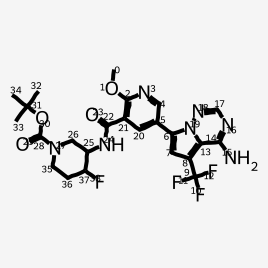 COc1ncc(-c2cc(C(F)(F)F)c3c(N)ncnn23)cc1C(=O)NC1CN(C(=O)OC(C)(C)C)CCC1F